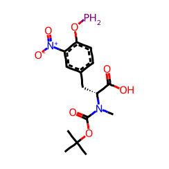 CN(C(=O)OC(C)(C)C)[C@H](Cc1ccc(OP)c([N+](=O)[O-])c1)C(=O)O